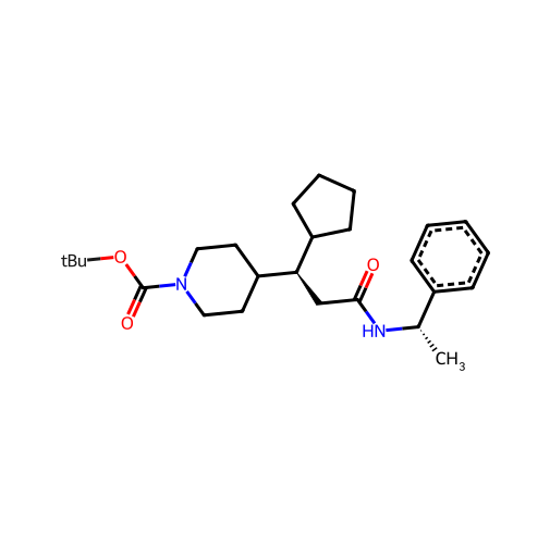 C[C@H](NC(=O)C[C@H](C1CCCC1)C1CCN(C(=O)OC(C)(C)C)CC1)c1ccccc1